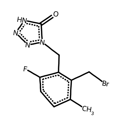 Cc1ccc(F)c(Cn2nn[nH]c2=O)c1CBr